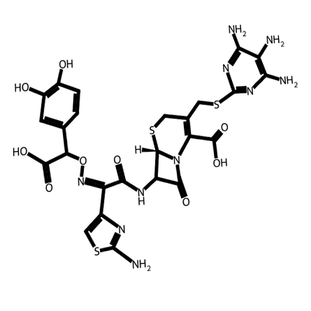 Nc1nc(/C(=N/OC(C(=O)O)c2ccc(O)c(O)c2)C(=O)NC2C(=O)N3C(C(=O)O)=C(CSc4nc(N)c(N)c(N)n4)CS[C@@H]23)cs1